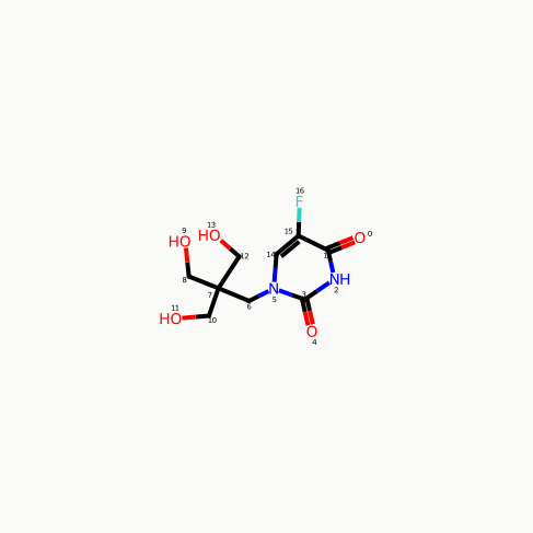 O=c1[nH]c(=O)n(CC(CO)(CO)CO)cc1F